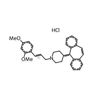 COc1ccc(/C=C/CN2CCC(=C3c4ccccc4C=Cc4ccccc43)CC2)c(OC)c1.Cl